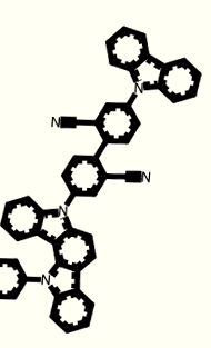 N#Cc1cc(-n2c3ccccc3c3ccccc32)ccc1-c1ccc(-n2c3ccccc3c3c2ccc2c4ccccc4n(-c4ccccc4)c23)cc1C#N